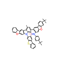 Cc1cc(-c2cc3c(cc2Nc2ccc(C(C)(C)C)cc2)oc2cc(C(C)(C)C)ccc23)c2c3c1c1cc4c(cc1n3-c1cc3sc5ccccc5c3cc1B2)oc1ccccc14